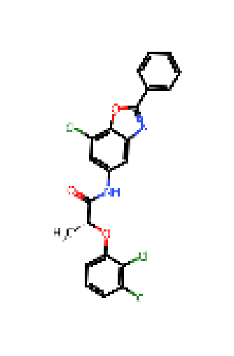 C[C@@H](Oc1cccc(Cl)c1Cl)C(=O)Nc1cc(Cl)c2oc(-c3ccccc3)nc2c1